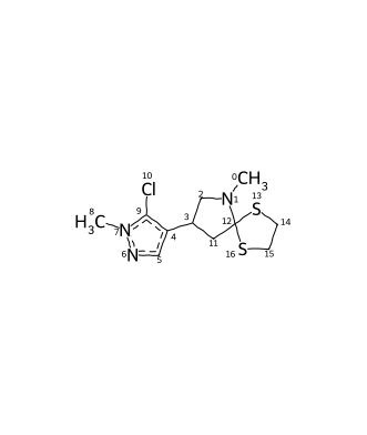 CN1CC(c2cnn(C)c2Cl)CC12SCCS2